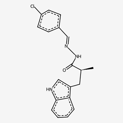 C[C@@H](Cc1c[nH]c2ccccc12)C(=O)N/N=C/c1ccc(Cl)cc1